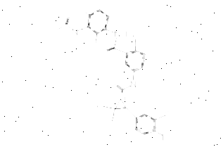 CCC(=O)Nc1c(F)ccc(NC(=O)c2cc(NC(=O)[C@H]3C(c4ccc(F)c(Cl)c4)C3(Cl)Cl)ccc2Cl)c1F